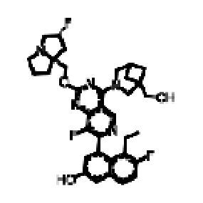 CCc1c(F)ccc2cc(O)cc(-c3ncc4c(N5CC6CC(CO)(C6)C5)nc(OC[C@@]56CCCN5C[C@H](F)C6)nc4c3F)c12